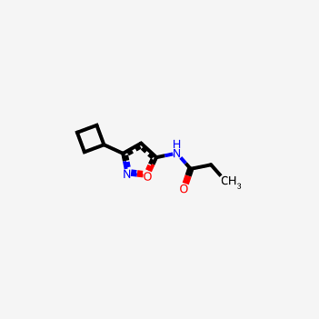 CCC(=O)Nc1cc(C2CCC2)no1